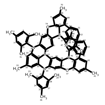 Cc1cc(C)c(N2c3cc4c(cc3B3c5cc6c(cc5N(c5c(C)cc(C)cc5C)c5cc(C)cc2c53)Oc2cc(C)cc3c2B6c2sc5ccccc5c2O3)B2c3sc5ccccc5c3Oc3cc(C)cc(c32)O4)c(C)c1